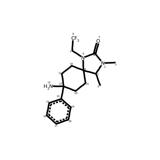 CC1N(C)C(=O)N(CC(F)(F)F)C12CCC(N)(c1ccccc1)CC2